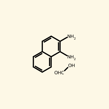 Nc1ccc2ccccc2c1N.O=CO